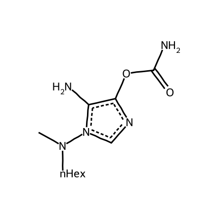 CCCCCCN(C)n1cnc(OC(N)=O)c1N